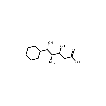 N[C@H]([C@@H](O)CC(=O)O)[C@@H](O)C1CCCCC1